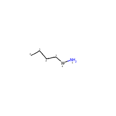 CCC[CH2][W][NH2]